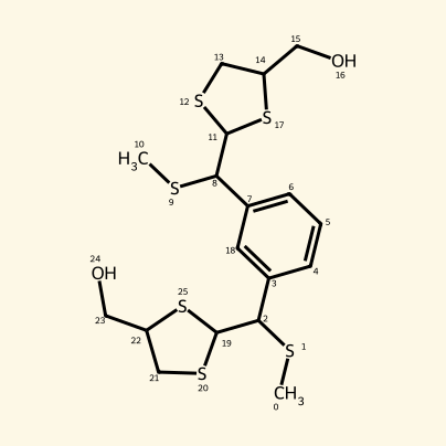 CSC(c1cccc(C(SC)C2SCC(CO)S2)c1)C1SCC(CO)S1